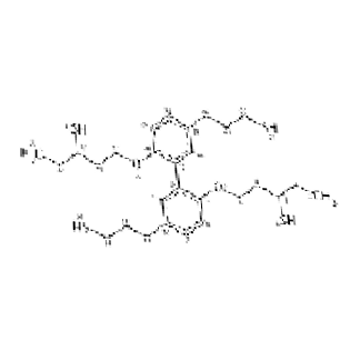 CCC(S)CCOc1ccc(CCCS)cc1-c1cc(CCCS)ccc1OCCC(S)CC